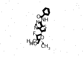 CC[C@@]1(CO)O[C@@H](c2csc3c(NC(=O)c4ccccc4)ncnc23)[C@H](F)[C@@H]1C